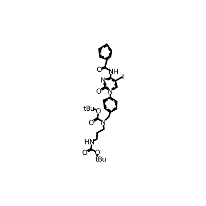 CC(C)(C)OC(=O)NCCCN(Cc1ccc(-n2cc(I)c(NC(=O)c3ccccc3)nc2=O)cc1)C(=O)OC(C)(C)C